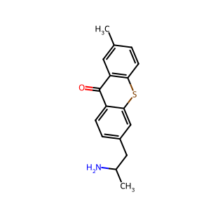 Cc1ccc2sc3cc(CC(C)N)ccc3c(=O)c2c1